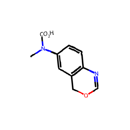 CN(C(=O)O)c1ccc2c(c1)COC=N2